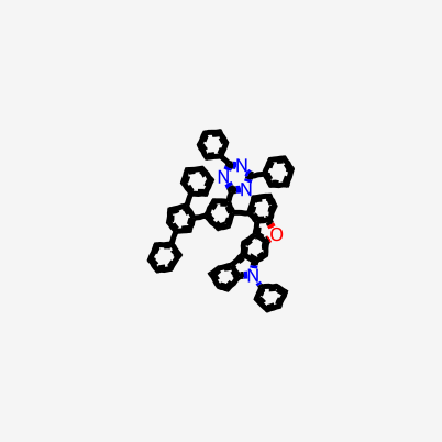 c1ccc(-c2ccc(-c3ccccc3)c(-c3ccc(-c4cccc5oc6cc7c(cc6c45)c4ccccc4n7-c4ccccc4)c(-c4nc(-c5ccccc5)nc(-c5ccccc5)n4)c3)c2)cc1